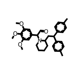 COc1cc(C(C=O)N2CCCCC2CC(c2ccc(C)cc2)c2ccc(C)cc2)cc(OC)c1OC